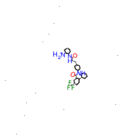 Nc1ccccc1NC(=O)CCc1ccc(NC(=O)c2cc(C(F)(F)F)ccc2-c2ccccc2)cc1